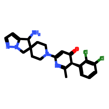 CC1=NC(N2CCC3(CC2)Cn2nccc2C3N)=CC(=O)[C@H]1c1cccc(Cl)c1Cl